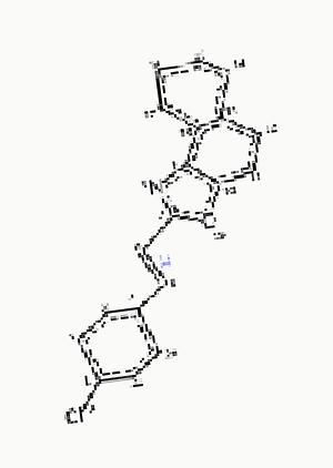 Clc1ccc(/C=C/c2nc3c(ccc4ccccc43)o2)cc1